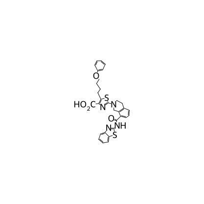 O=C(Nc1nc2ccccc2s1)c1cccc2c1CN(c1nc(C(=O)O)c(CCCCOc3ccccc3)s1)CC2